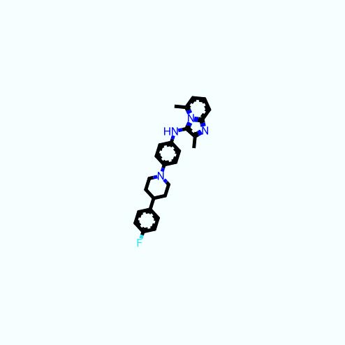 Cc1nc2cccc(C)n2c1Nc1ccc(N2CCC(c3ccc(F)cc3)CC2)cc1